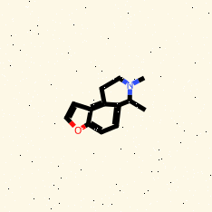 CC1c2ccc3occc3c2CCN1C